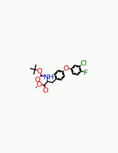 COC(=O)C(Cc1ccc(Oc2ccc(F)c(Cl)c2)cc1)NC(=O)OC(C)(C)C